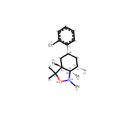 CCc1ccccc1[C@H]1C[C@@H]2[C@@H]([C@@H](C)C1)N(C(C)C)OC2(C)C